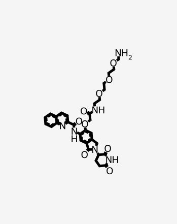 NCOCCOCCOCCNC(=O)COc1cc2c(cc1NC(=O)c1ccc3ccccc3n1)C(=O)N(C1CCC(=O)NC1=O)C2